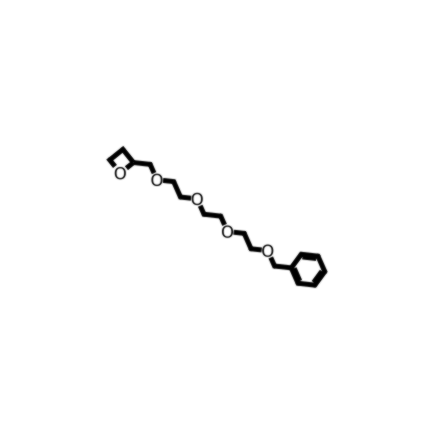 c1ccc(COCCOCCOCCOCC2CCO2)cc1